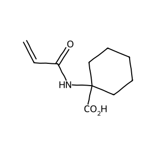 C=CC(=O)NC1(C(=O)O)CCCCC1